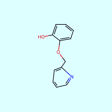 Oc1ccccc1OCc1ccccn1